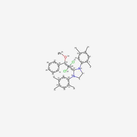 Cc1cc(C)c(N2CCN(c3cc(C)c(C)cc3C)[C]2=[Ru]([Cl])([Cl])=[C](OC(C)C)c2ccccc2)cc1C